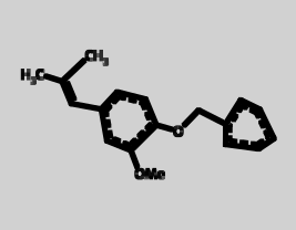 COc1cc(C=C(C)C)ccc1OCc1ccccc1